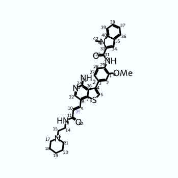 COc1cc(-c2csc3c(/C=C/C(=O)NCCN4CCCCC4)cnc(N)c23)ccc1NC(=O)c1cc2ccccc2n1C